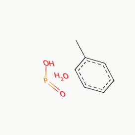 Cc1ccccc1.O.O=PO